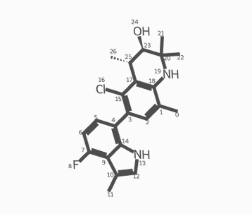 Cc1cc(-c2ccc(F)c3c(C)c[nH]c23)c(Cl)c2c1NC(C)(C)[C@H](O)[C@H]2C